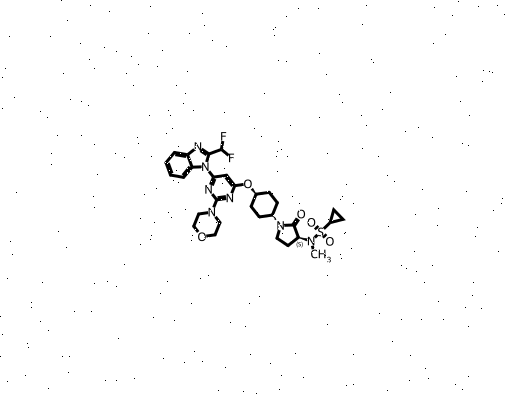 CN([C@H]1CCN([C@H]2CC[C@H](Oc3cc(-n4c(C(F)F)nc5ccccc54)nc(N4CCOCC4)n3)CC2)C1=O)S(=O)(=O)C1CC1